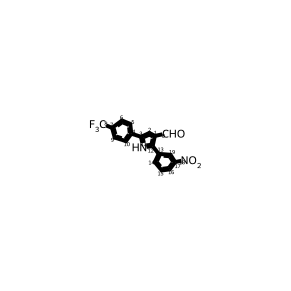 O=Cc1cc(-c2ccc(C(F)(F)F)cc2)[nH]c1-c1cccc([N+](=O)[O-])c1